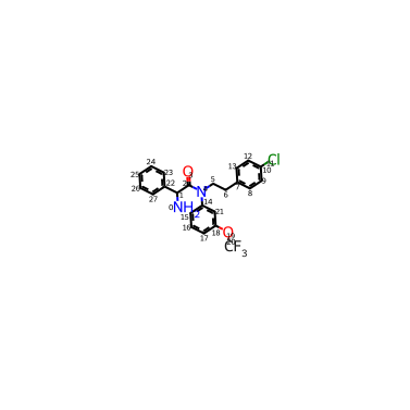 NC(C(=O)N(CCc1ccc(Cl)cc1)c1cccc(OC(F)(F)F)c1)c1ccccc1